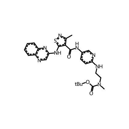 Cc1nsc(Nc2cnc3ccccc3n2)c1C(=O)Nc1ccc(NCCN(C)C(=O)OC(C)(C)C)nc1